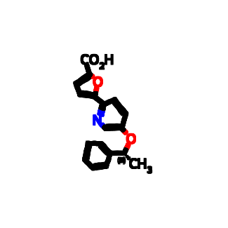 C[C@@H](Oc1ccc(-c2ccc(C(=O)O)o2)nc1)c1ccccc1